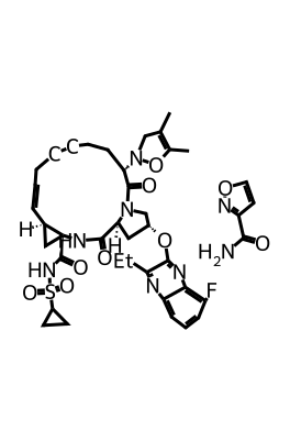 CCc1nc2cccc(F)c2nc1O[C@@H]1C[C@H]2C(=O)N[C@]3(C(=O)NS(=O)(=O)C4CC4)C[C@H]3C=CCCCCC[C@H](N3CC(C)=C(C)O3)C(=O)N2C1.NC(=O)c1ccon1